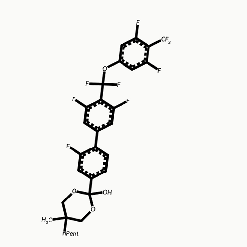 CCCCCC1(C)COC(O)(c2ccc(-c3cc(F)c(C(F)(F)Oc4cc(F)c(C(F)(F)F)c(F)c4)c(F)c3)c(F)c2)OC1